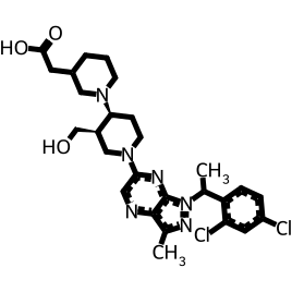 Cc1nn(C(C)c2ccc(Cl)cc2Cl)c2nc(N3CC[C@H](N4CCCC(CC(=O)O)C4)[C@H](CO)C3)cnc12